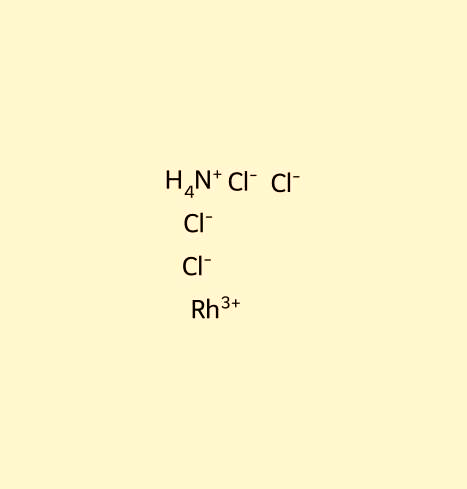 [Cl-].[Cl-].[Cl-].[Cl-].[NH4+].[Rh+3]